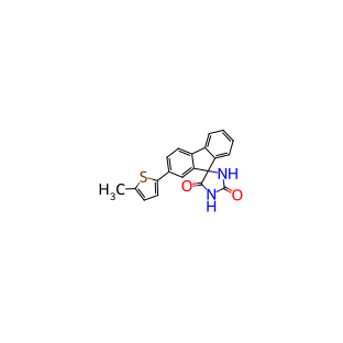 Cc1ccc(-c2ccc3c(c2)C2(NC(=O)NC2=O)c2ccccc2-3)s1